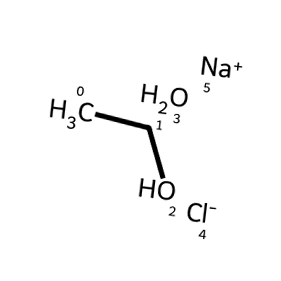 CCO.O.[Cl-].[Na+]